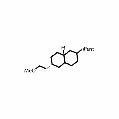 CCCCCC1CCC2C[C@H](CCOC)CC[C@@H]2C1